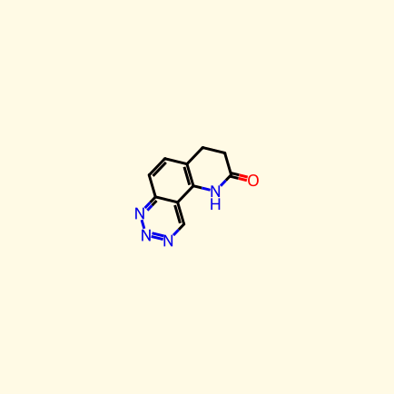 O=C1CCc2ccc3nnncc3c2N1